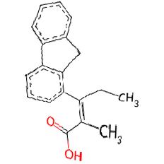 CCC(=C(C)C(=O)O)c1cccc2c1Cc1ccccc1-2